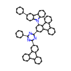 c1ccc(-c2ccc3c(c2)c2ccccc2n3-c2cc(-c3nc(-c4ccccc4)nc(-c4ccc5c6ccccc6c6ccccc6c5c4)n3)cc3c4ccccc4c4ccccc4c23)cc1